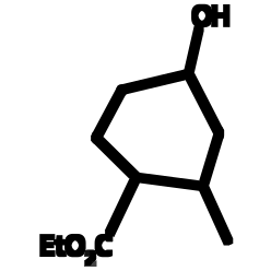 CCOC(=O)C1CCC(O)CC1C